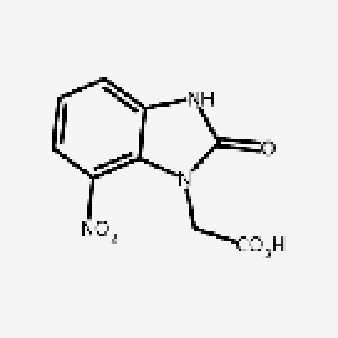 O=C(O)Cn1c(=O)[nH]c2cccc([N+](=O)[O-])c21